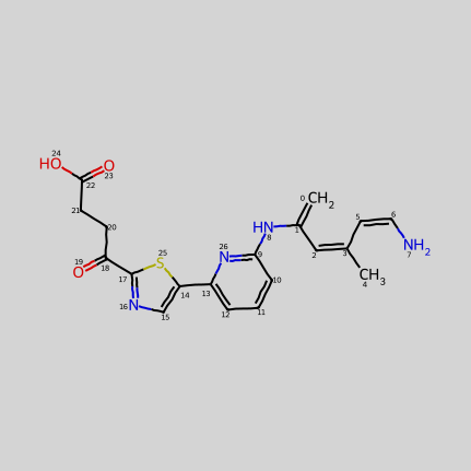 C=C(/C=C(C)\C=C/N)Nc1cccc(-c2cnc(C(=O)CCC(=O)O)s2)n1